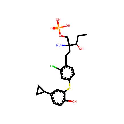 CC[C@@H](O)C(N)(CCc1ccc(Sc2cc(C3CC3)ccc2O)cc1Cl)COP(=O)(O)O